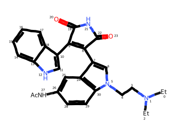 CCN(CC)CCn1cc(C2=C(c3c[nH]c4ccccc34)C(=O)NC2=O)c2cc(NC(C)=O)ccc21